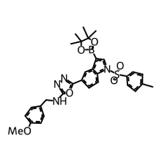 COc1ccc(CNc2nnc(-c3ccc4c(c3)c(B3OC(C)(C)C(C)(C)O3)cn4S(=O)(=O)c3ccc(C)cc3)o2)cc1